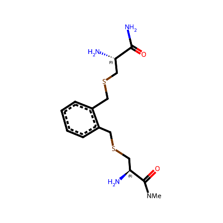 CNC(=O)[C@@H](N)CSCc1ccccc1CSC[C@H](N)C(N)=O